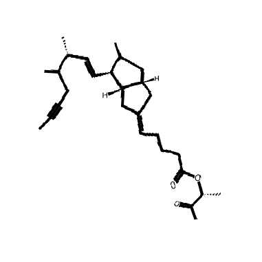 CC#CCC(C)[C@H](C)/C=C/[C@H]1C(C)C[C@@H]2C/C(=C\CCCC(=O)O[C@H](C)C(C)=O)C[C@@H]21